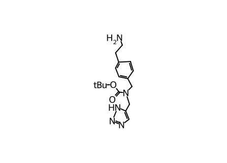 CC(C)(C)OC(=O)N(Cc1ccc(CCN)cc1)Cc1cnn[nH]1